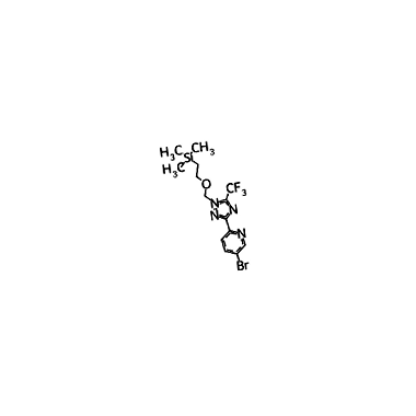 C[Si](C)(C)CCOCn1nc(-c2ccc(Br)cn2)nc1C(F)(F)F